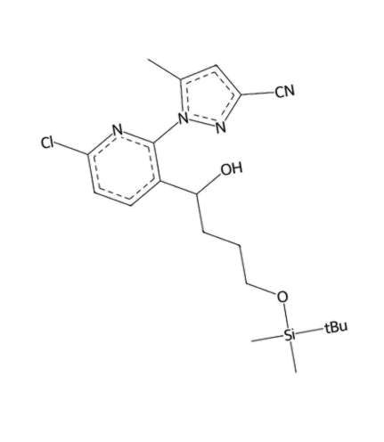 Cc1cc(C#N)nn1-c1nc(Cl)ccc1C(O)CCCO[Si](C)(C)C(C)(C)C